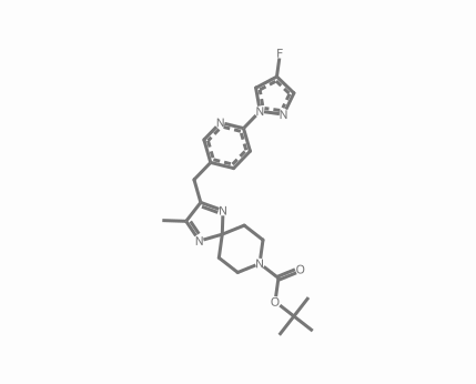 CC1=NC2(CCN(C(=O)OC(C)(C)C)CC2)N=C1Cc1ccc(-n2cc(F)cn2)nc1